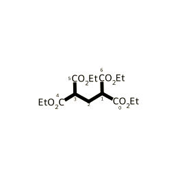 CCOC(=O)C(CC(C(=O)OCC)C(=O)OCC)C(=O)OCC